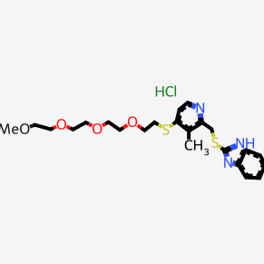 COCCOCCOCCOCCSc1ccnc(CSc2nc3ccccc3[nH]2)c1C.Cl